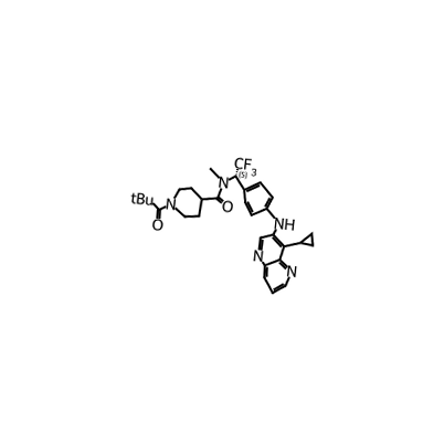 CN(C(=O)C1CCN(C(=O)C(C)(C)C)CC1)[C@@H](c1ccc(Nc2cnc3cccnc3c2C2CC2)cc1)C(F)(F)F